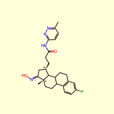 Cc1ccc(NC(=O)CC[C@@H]2C/C(=N\O)[C@@]3(C)CCC4c5ccc(F)cc5CCC4C23)nn1